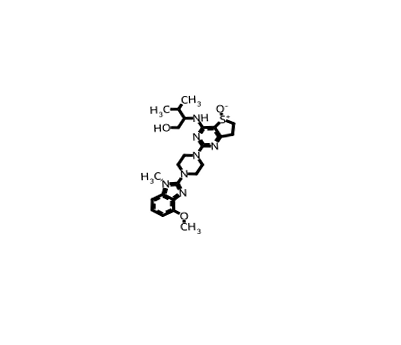 COc1cccc2c1nc(N1CCN(c3nc4c(c(NC(CO)C(C)C)n3)[S+]([O-])CC4)CC1)n2C